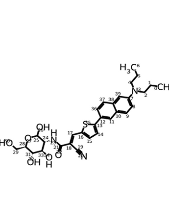 CCCN(CCC)c1ccc2cc(-c3ccc(/C=C(\C#N)C(=O)N[C@H]4C(O)O[C@H](CO)[C@@H](O)[C@@H]4O)s3)ccc2c1